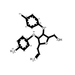 C=CCC1OC(CO)C(Oc2ccc(I)cc2)C1Oc1ccc(C)cc1